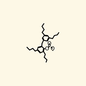 CCCCc1cc(CCCC)c2c(c1)Cc1cc(CCCC)cc(CCCC)c1OP(OC)O2